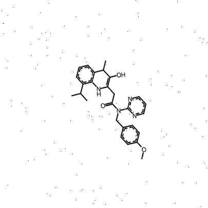 COc1ccc(CN(C(=O)CC2=C(O)C(C)c3cccc(C(C)C)c3N2)c2ncccn2)cc1